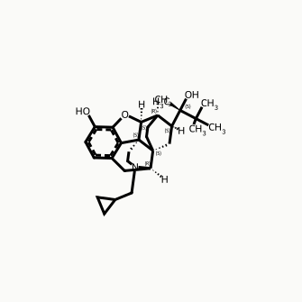 CC(C)(C)[C@@](C)(O)[C@H]1C[C@@]23CC[C@@]1(C)[C@@H]1Oc4c(O)ccc5c4[C@@]12CCN(CC1CC1)[C@@H]3C5